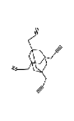 C#CCC12CC3(CC#C)CC(CC#C)(C1)CC(CC#C)(C2)C3